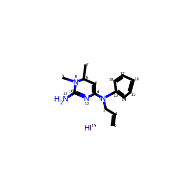 C=CCN(C1=CC(C)N(C)C(N)=N1)c1ccccc1.I